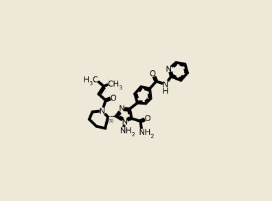 CC(C)=CC(=O)N1CCCC[C@H]1c1nc(-c2ccc(C(=O)Nc3ccccn3)cc2)c(C(N)=O)n1N